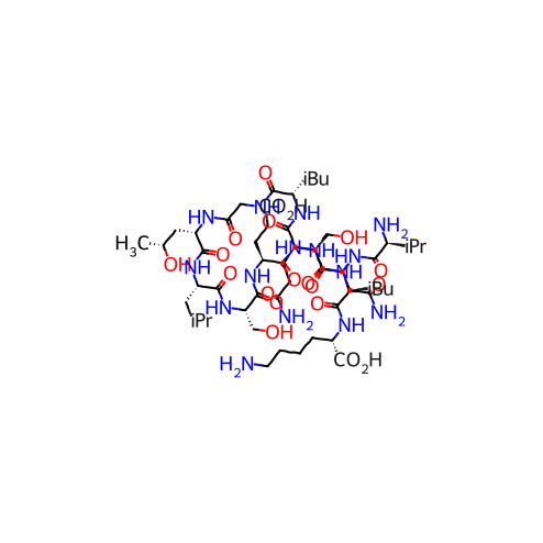 CCC(C)[C@H](NC(=O)[C@H](CCC(N)=O)NC(=O)[C@H](CC(N)=O)NC(=O)[C@@H](N)C(C)C)C(=O)NCC(=O)N[C@@H](C[C@@H](C)O)C(=O)N[C@@H](CC(C)C)C(=O)N[C@@H](CO)C(=O)N[C@@H](CCC(=O)O)C(=O)N[C@@H](CO)C(=O)N[C@H](C(=O)N[C@@H](CCCCN)C(=O)O)C(C)CC